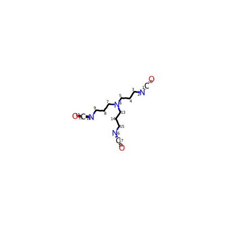 O=C=NCCCN(CCCN=C=O)CCCN=C=O